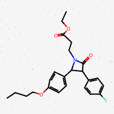 CCCCOc1ccc(C2C(c3ccc(F)cc3)C(=O)N2CCC(=O)OCC)cc1